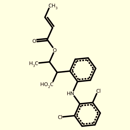 CC=CC(=O)OC(C)C(C(=O)O)c1ccccc1Nc1c(Cl)cccc1Cl